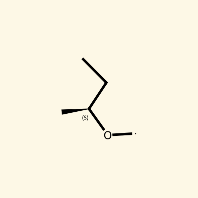 [CH2]O[C@@H](C)CC